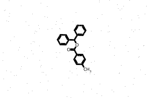 Cc1ccc(C(=O)OC(c2ccccc2)c2ccccc2)cc1